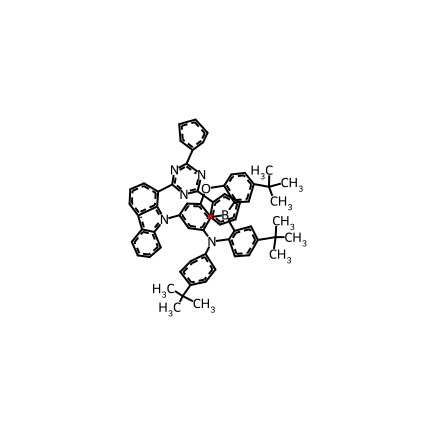 CC(C)(C)c1ccc(N2c3ccc(C(C)(C)C)cc3B3c4cc(C(C)(C)C)ccc4Oc4cc(-n5c6ccccc6c6cccc(-c7nc(-c8ccccc8)nc(-c8ccccc8)n7)c65)cc2c43)cc1